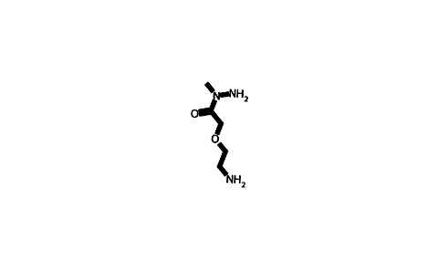 CN(N)C(=O)COCCN